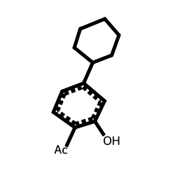 CC(=O)c1ccc(C2CCCCC2)cc1O